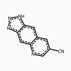 N#Cc1cnc2cc3nn[nH]c3cc2c1